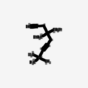 C#CCC(CC#C[Si](C)(C)C)(C(=O)OCC)C(=O)OCC